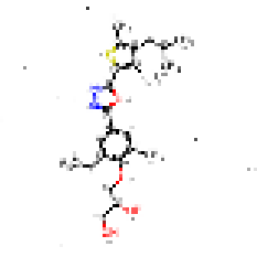 CCc1cc(-c2nnc(-c3sc(C)c(CC(C)C)c3C)o2)cc(C)c1OCC(O)CO